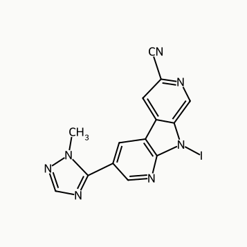 Cn1ncnc1-c1cnc2c(c1)c1cc(C#N)ncc1n2I